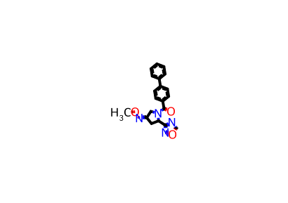 CON=C1CC(c2ncon2)N(C(=O)c2ccc(-c3ccccc3)cc2)C1